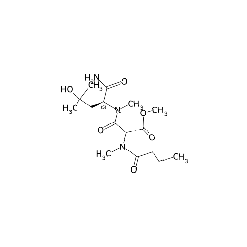 CCCC(=O)N(C)C(C(=O)OC)C(=O)N(C)[C@@H](CC(C)(C)O)C(N)=O